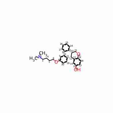 CN(C)CCCCOc1ccc([C@H]2c3cc(O)ccc3OC[C@H]2c2ccccc2)cc1